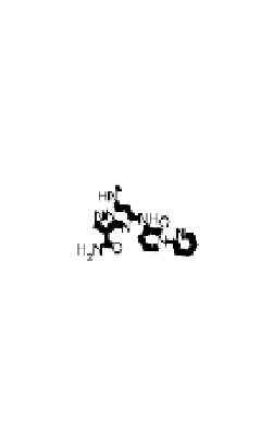 CNc1cc(Nc2cccn(-c3ccccn3)c2=O)nc2c(C(N)=O)cnn12